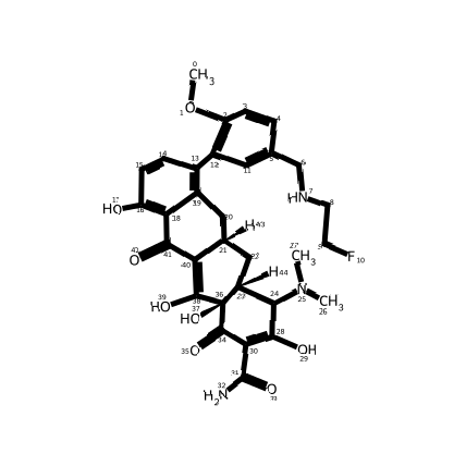 COc1ccc(CNCCF)cc1-c1ccc(O)c2c1C[C@@H]1C[C@@H]3C(N(C)C)C(O)=C(C(N)=O)C(=O)[C@]3(O)C(O)=C1C2=O